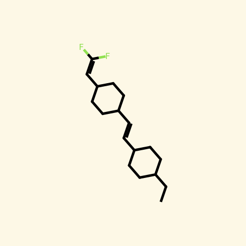 CCC1CCC(C=CC2CCC(C=C(F)F)CC2)CC1